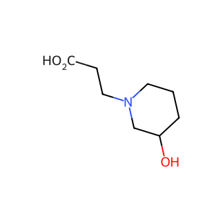 O=C(O)CCN1CCCC(O)C1